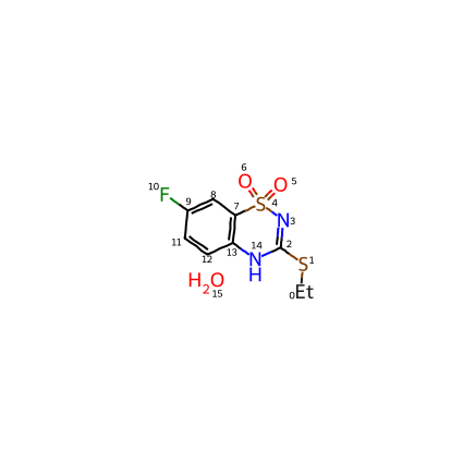 CCSC1=NS(=O)(=O)c2cc(F)ccc2N1.O